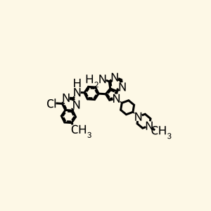 Cc1ccc2c(Cl)nc(Nc3ccc(-c4cn([C@H]5CC[C@@H](N6CCN(C)CC6)CC5)c5ncnc(N)c45)cc3)nc2c1